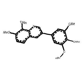 CCCCOc1cc(-c2cnc3c(OC)c(OC)ccc3c2)cc(OC)c1OC